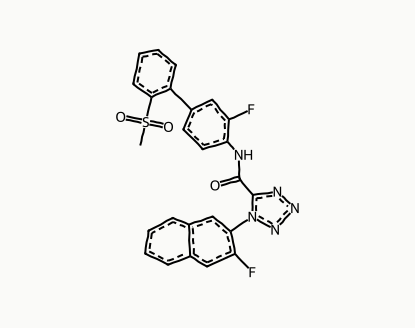 CS(=O)(=O)c1ccccc1-c1ccc(NC(=O)c2nnnn2-c2cc3ccccc3cc2F)c(F)c1